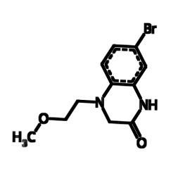 COCCN1CC(=O)Nc2cc(Br)ccc21